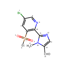 CCS(=O)(=O)c1cc(Br)cnc1-c1ncc(C=O)n1C